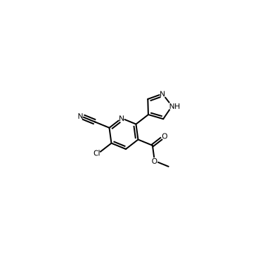 COC(=O)c1cc(Cl)c(C#N)nc1-c1cn[nH]c1